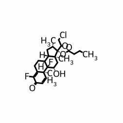 CCCC(=O)O[C@@]1(C(=O)CCl)[C@@H](C)C[C@H]2[C@@H]3CCC4=C(F)C(=O)C=C[C@]4(C)[C@@]3(F)[C@@H](O)C[C@@]21C